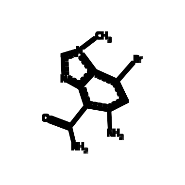 Cn1cnc2c(C(N)=O)c(N)cc(Br)c21